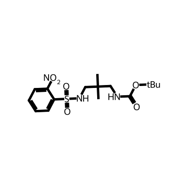 CC(C)(CNC(=O)OC(C)(C)C)CNS(=O)(=O)c1ccccc1[N+](=O)[O-]